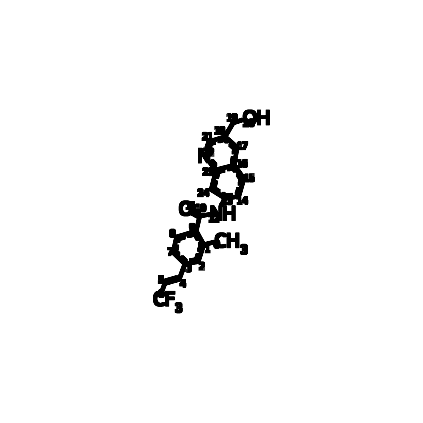 Cc1cc(C=CC(F)(F)F)ccc1C(=O)Nc1ccc2cc(CO)cnc2c1